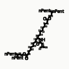 CCCCCC(CCCCC)CCOC(=O)CCCCCCCCC(CCCCCCCCC(=O)OCCC(CCCCC)CCCCC)NC(=O)CN(C)C